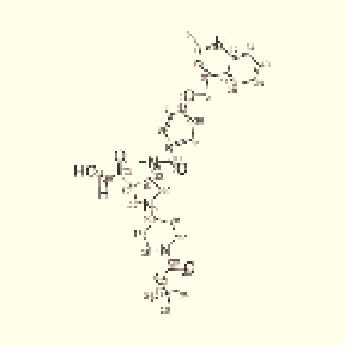 Cc1cc(COc2ccc(C(=O)N[C@@H]3CN(C4CCN(C(=O)OC(C)(C)C)CC4)C[C@@H]3C(=O)NO)cc2)c2ccccc2n1